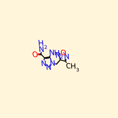 Cc1nonc1Cn1nnc(C(N)=O)c1N